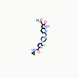 CCc1cc2ccc(CN3CCN(c4ccc(C(=O)NC5CC5)nc4F)CC3)nc2[nH]c1=O